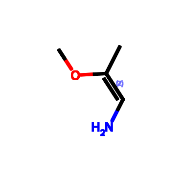 CO/C(C)=C\N